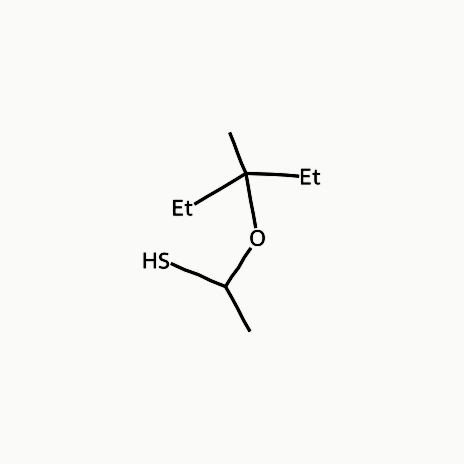 CCC(C)(CC)OC(C)S